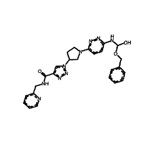 O=C(NCc1ccccn1)c1cn(C2CCN(c3ccc(NC(O)OCc4ccccc4)nn3)C2)nn1